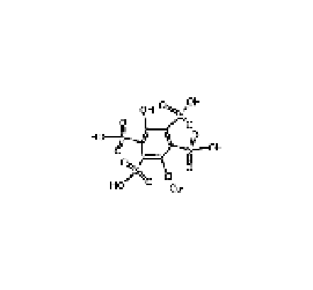 O=S(=O)(O)c1c(O)c(S(=O)(=O)O)c(S(=O)(=O)O)c(Cl)c1S(=O)(=O)O.[Cu]